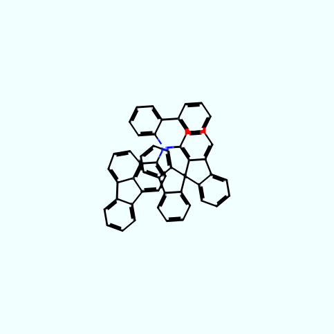 c1ccc(-c2ccccc2N(c2cccc3c2C2(c4ccccc4-c4ccccc42)c2ccccc2-3)c2ccc3c4c(cccc24)-c2ccccc2-3)cc1